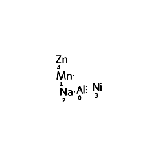 [Al].[Mn].[Na].[Ni].[Zn]